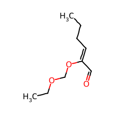 CCCC=C(C=O)OCOCC